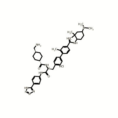 Cc1cc(C(=O)NC2CCC(N(C)C)CC2(C)C)ccc1-c1ccc(C[C@H](NC(=O)[C@H]2CC[C@H](CN)CC2)C(=O)Nc2ccc(-c3nnn[nH]3)cc2)cc1.Cl